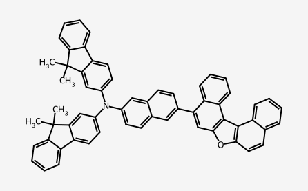 CC1(C)c2ccccc2-c2ccc(N(c3ccc4c(c3)C(C)(C)c3ccccc3-4)c3ccc4cc(-c5cc6oc7ccc8ccccc8c7c6c6ccccc56)ccc4c3)cc21